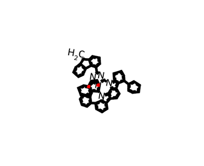 C=C1c2ccccc2-c2c1cccc2-c1nc(-c2ccccc2)nc(-n2c3cccc(-c4ccccc4)c3c3ccc4c5cccc6c5n(c4c32)-c2ccccc2-c2ccccc2-6)n1